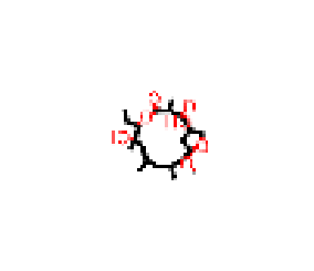 CCC1OC(=O)C(C)C(=O)C2(O)COC(OC)(CC(C)C/C(C)=C/C1(C)O)C2